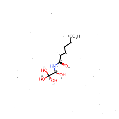 O=C(O)CCCCC(=O)NC(O)C(O)(O)O